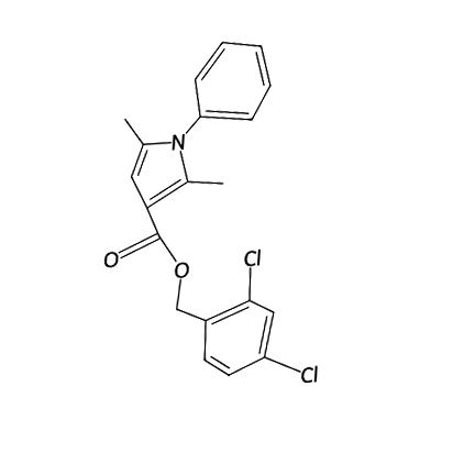 Cc1cc(C(=O)OCc2ccc(Cl)cc2Cl)c(C)n1-c1ccccc1